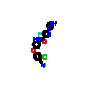 N#Cc1ccc(O[C@H]2CC[C@H](NC(=O)c3cnc(N4CCNCC4)cc3F)CC2)cc1Cl